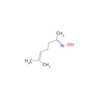 CC(C)=CCCC(C)=NO